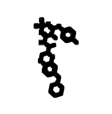 Cc1ccc(OC2=NS(=O)(=O)N=C(NC(C)C3COc4ccc(CN5CCCCC5)cc4O3)N2C)cc1